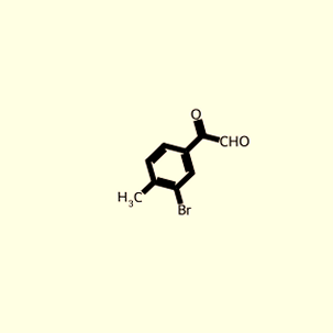 Cc1ccc(C(=O)C=O)cc1Br